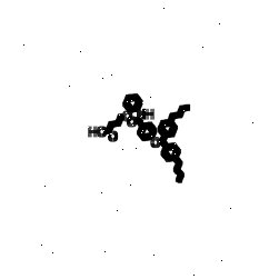 CCCCc1ccc(C(Oc2ccc(C(=O)Nc3ccccc3OCCCC(=O)O)cc2)c2ccc(CCCC)cc2)cc1